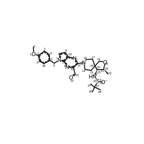 COc1ccc(Cn2ccc3nc(N4CCC5(CC4)CO[C@@H](C)[C@H]5N[S+]([O-])C(C)(C)C)c(C=O)nc32)cc1